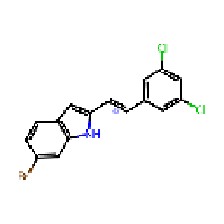 Clc1cc(Cl)cc(/C=C/c2cc3ccc(Br)cc3[nH]2)c1